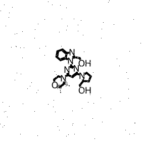 C[C@@H]1OCCN(c2cc(N3CCCC3CO)nc(-n3c(CO)nc4ccccc43)n2)[C@@H]1C